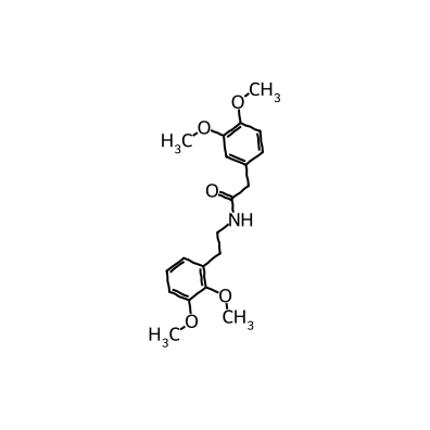 COc1ccc(CC(=O)NCCc2cccc(OC)c2OC)cc1OC